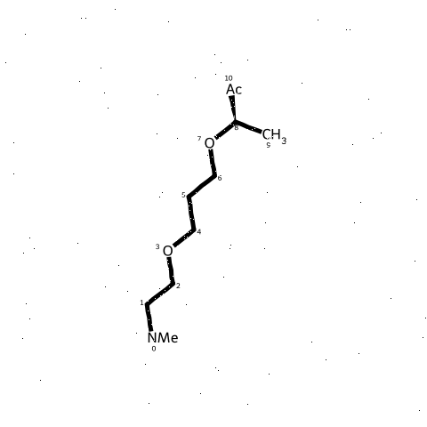 CNCCOCCCO[C@H](C)C(C)=O